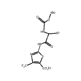 CCOC(=O)c1sc(NC(=O)C(CC)NC(=O)OC(C)(C)C)nc1C(F)(F)F